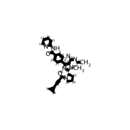 C=C/N=C(/N)c1c(-c2ccc(C(=O)Nc3ccccn3)cc2)nc([C@@H]2CCCN2C(=O)C#CC2CC2)n1C